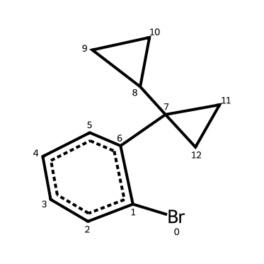 Brc1ccccc1C1(C2CC2)CC1